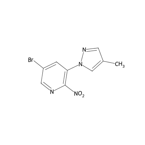 Cc1cnn(-c2cc(Br)cnc2[N+](=O)[O-])c1